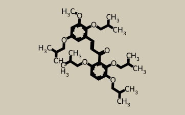 COc1cc(OCC(C)C)cc(C=CC(=O)c2c(OCC(C)C)ccc(OCC(C)C)c2OCC(C)C)c1OCC(C)C